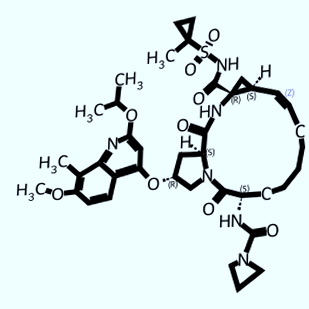 COc1ccc2c(O[C@@H]3C[C@H]4C(=O)N[C@]5(C(=O)NS(=O)(=O)C6(C)CC6)C[C@H]5/C=C\CCCCC[C@H](NC(=O)N5CCC5)C(=O)N4C3)cc(OC(C)C)nc2c1C